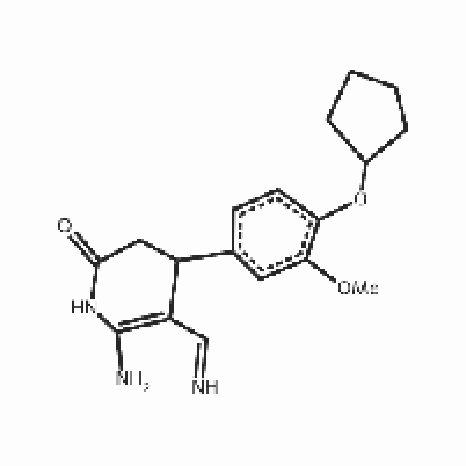 COc1cc(C2CC(=O)NC(N)=C2C=N)ccc1OC1CCCC1